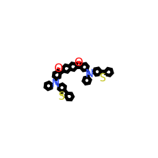 c1ccc(N(c2ccc3c(c2)sc2ccccc23)c2ccc3oc4cc5cc6oc7ccc(N(c8ccccc8)c8ccc9c(c8)sc8ccccc89)cc7c6cc5cc4c3c2)cc1